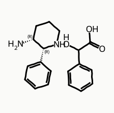 N[C@@H]1CCCN[C@@H]1c1ccccc1.O=C(O)C(O)c1ccccc1